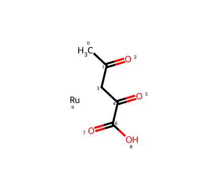 CC(=O)CC(=O)C(=O)O.[Ru]